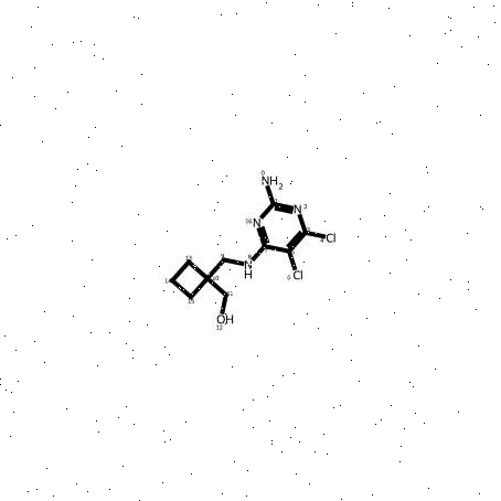 Nc1nc(Cl)c(Cl)c(NCC2(CO)CCC2)n1